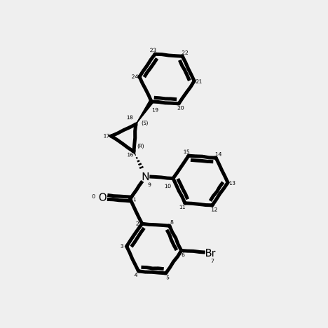 O=C(c1cccc(Br)c1)N(c1ccccc1)[C@@H]1C[C@H]1c1ccccc1